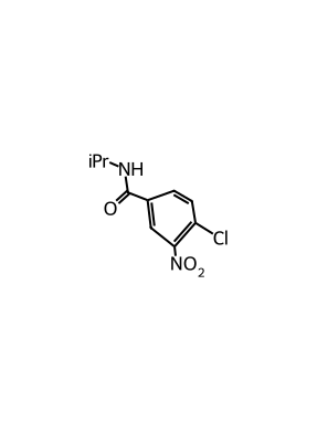 CC(C)NC(=O)c1ccc(Cl)c([N+](=O)[O-])c1